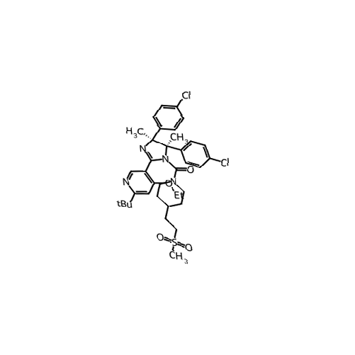 CCOc1cc(C(C)(C)C)ncc1C1=N[C@@](C)(c2ccc(Cl)cc2)[C@@](C)(c2ccc(Cl)cc2)N1C(=O)N1CCC(CCS(C)(=O)=O)CC1